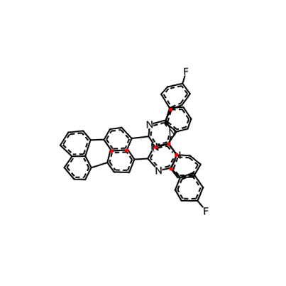 Fc1ccc(-c2nc(-c3ccccc3)nc(-c3ccc(-c4cccc5cccc(-c6ccc(-c7nc(-c8ccccc8)nc(-c8ccc(F)cc8)n7)cc6)c45)cc3)n2)cc1